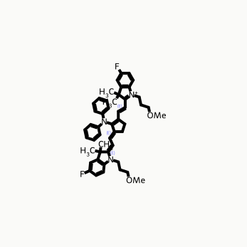 COCCCN1/C(=C/C=C2\CCC(/C=C/C3=[N+](CCCOC)c4ccc(F)cc4C3(C)C)=C2N(c2ccccc2)c2ccccc2)C(C)(C)c2cc(F)ccc21